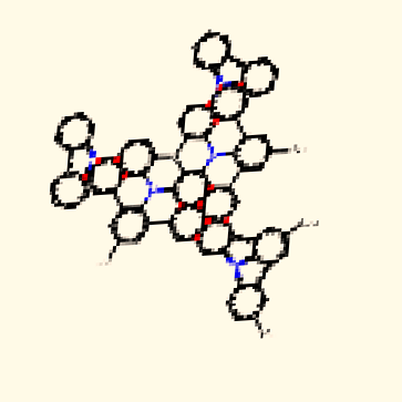 CC(C)(C)c1cc(-c2ccccc2)c(N2c3cc(-n4c5ccccc5c5ccccc54)ccc3B3c4ccc(-n5c6ccccc6c6ccccc65)cc4N(c4c(-c5ccccc5)cc(C(C)(C)C)cc4-c4ccccc4)c4cc(-c5ccc6c(c5)c5cc(C(C)(C)C)cc7c8cc(C(C)(C)C)ccc8n6c57)cc2c43)c(-c2ccccc2)c1